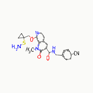 Cn1c(=O)c(C(=O)NCc2ccc(C#N)cc2)cc2ccnc(OCC3(SN)CC3)c21